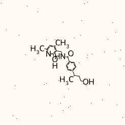 Cc1cc(C)c(CNC(=O)c2ccc(C(C)CCO)cc2)c(O)n1